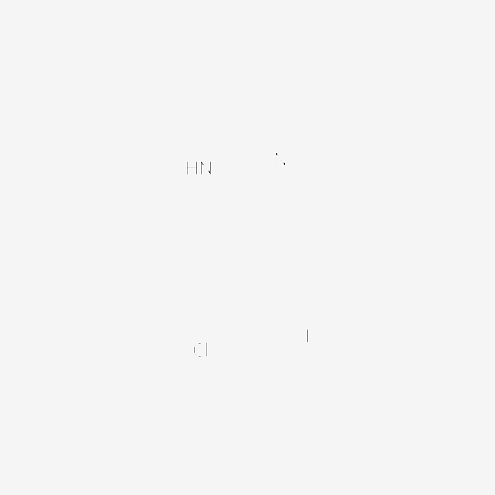 Clc1cc2[nH]cnc2cc1I